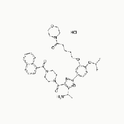 CC(N)c1oc(-c2ccc(OC(F)F)c(OCCCCC(=O)N3CCOCC3)c2)nc1C(=O)N1CCN(C(=O)c2cccc3ccccc23)CC1.Cl